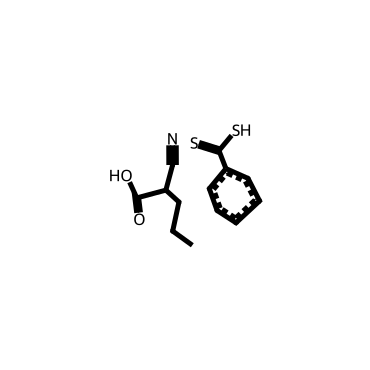 CCCC(C#N)C(=O)O.S=C(S)c1ccccc1